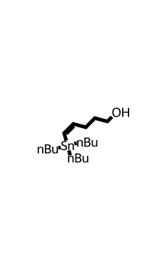 CCC[CH2][Sn](/[CH]=C\CCCO)([CH2]CCC)[CH2]CCC